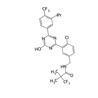 CC(C)c1cc(-c2nc(O)nc(-c3cc(CNC(=O)C(C)(C)C(F)(F)F)ccc3Cl)n2)ccc1C(F)(F)F